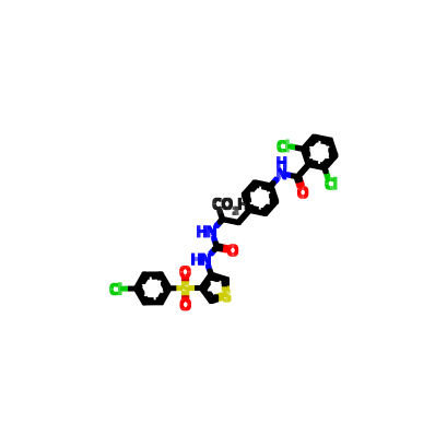 O=C(Nc1cscc1S(=O)(=O)c1ccc(Cl)cc1)NC(Cc1ccc(NC(=O)c2c(Cl)cccc2Cl)cc1)C(=O)O